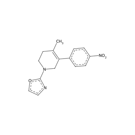 CC1=C(c2ccc([N+](=O)[O-])cc2)CN(c2ncco2)CC1